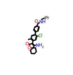 Cc1cc(-c2ccc(C(=O)NCC(C)C)cc2)c(Cl)cc1C1=C(N)C2(CCCCC2)OC1=O